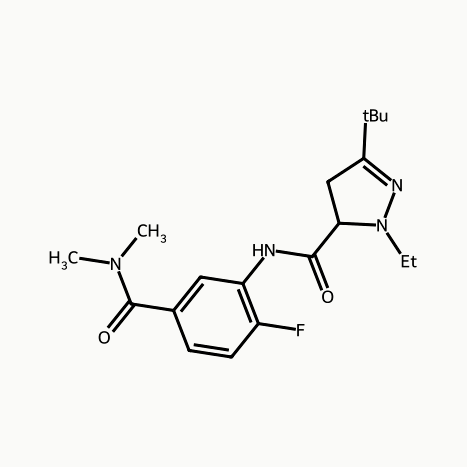 CCN1N=C(C(C)(C)C)CC1C(=O)Nc1cc(C(=O)N(C)C)ccc1F